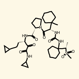 C[C@@H](C1(NC(=O)N[C@H](C(=O)N2CCC[C@H]2C(=O)N[C@@H](CCC2CC2)C(=O)C(=O)NC2CC2)C2(C)CCCCC2)CCCCC1)S(C)(=O)=O